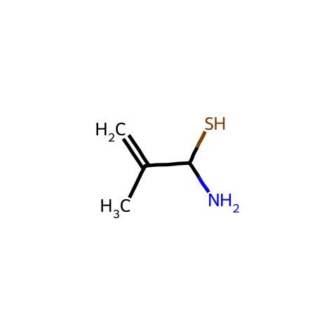 C=C(C)C(N)S